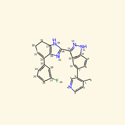 Cc1ccncc1-c1ccc2[nH]nc(-c3nc4c([nH]3)CCC=C4c3cccc(F)c3)c2c1